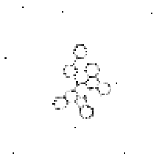 c1ccc(-c2cccc(N(c3cc4ccccc4c4ccccc34)c3cc4ccccc4c4c3sc3ccccc34)c2)cc1